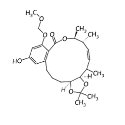 COCOc1cc(O)cc2c1C(=O)O[C@@H](C)[C@H](C)/C=C\C(C)[C@H]1OC(C)(C)O[C@H]1CCC2